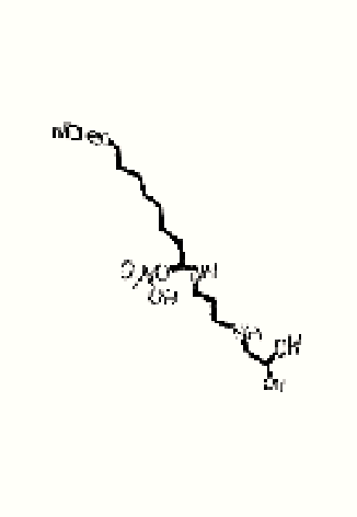 CCCCCCCCCCCCCCCCCC(=O)NCCCNCC(O)O.O=[N+]([O-])O